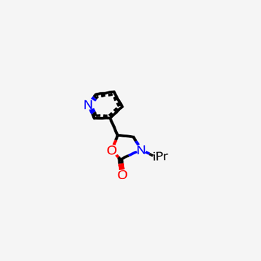 CC(C)N1CC(c2cccnc2)OC1=O